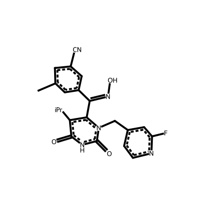 Cc1cc(C#N)cc(/C(=N\O)c2c(C(C)C)c(=O)[nH]c(=O)n2Cc2ccnc(F)c2)c1